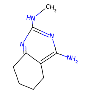 CNc1nc(N)c2c(n1)CCCC2